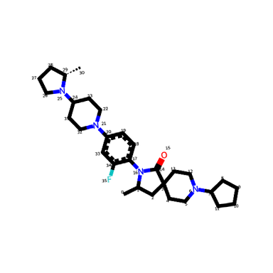 CC1CC2(CCN(C3CCCC3)CC2)C(=O)N1c1ccc(N2CCC(N3CCC[C@@H]3C)CC2)cc1F